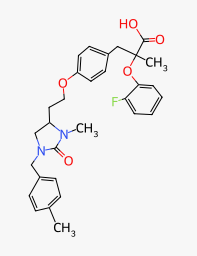 Cc1ccc(CN2CC(CCOc3ccc(CC(C)(Oc4ccccc4F)C(=O)O)cc3)N(C)C2=O)cc1